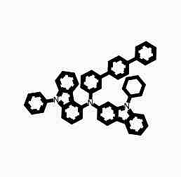 c1ccc(-c2ccc(-c3cccc(N(c4ccc5c6ccccc6n(C6CCCCC6)c5c4)c4cccc5c4c4ccccc4n5-c4ccccc4)c3)cc2)cc1